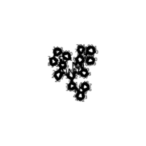 c1ccc([Si](c2ccccc2)(c2ccccc2)c2ccc3c(c2)c2ccccc2n3-c2cc(-c3cccc(-n4c5ccccc5c5ccccc54)c3)cc(-n3c4ccccc4n4c5cc([Si](c6ccccc6)(c6ccccc6)c6ccccc6)ccc5nc34)n2)cc1